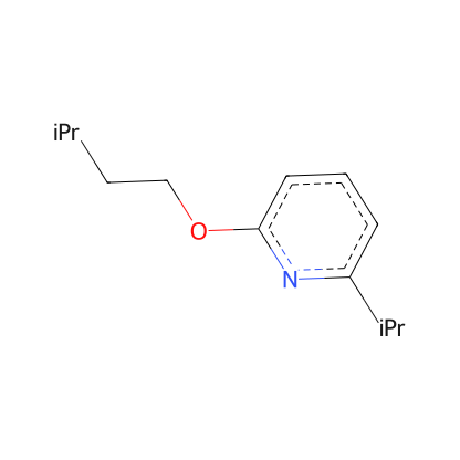 CC(C)CCOc1cccc(C(C)C)n1